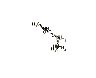 CCC#CCNC(=O)CCOCCOCCNC(C)SSCCNC(C)C